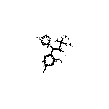 CC(C)(C)C(=O)C(c1ccc(Cl)cc1Cl)n1cncn1